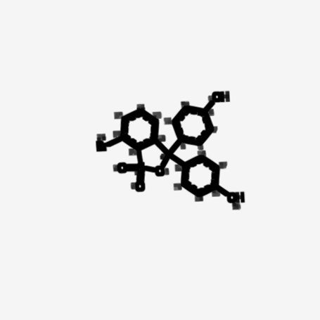 O=S1(=O)OC(c2ccc(O)cc2)(c2ccc(O)cc2)c2cccc(Br)c21